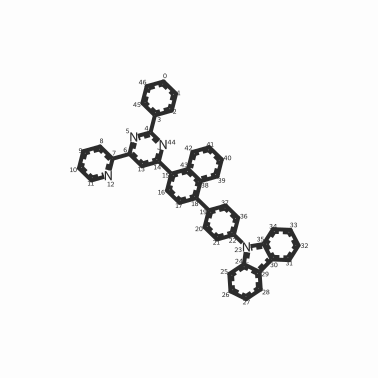 c1ccc(-c2nc(-c3ccccn3)cc(-c3ccc(-c4ccc(-n5c6ccccc6c6ccccc65)cc4)c4ccccc34)n2)cc1